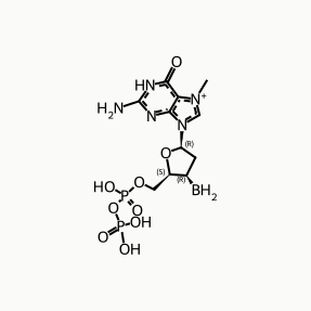 B[C@@H]1C[C@H](n2c[n+](C)c3c(=O)[nH]c(N)nc32)O[C@@H]1COP(=O)(O)OP(=O)(O)O